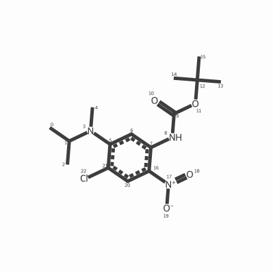 CC(C)N(C)c1cc(NC(=O)OC(C)(C)C)c([N+](=O)[O-])cc1Cl